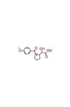 COc1ccc(C(=O)N2CCCC2C(O)C(=O)O)cc1